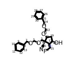 N#C[C@]1(COCOCc2ccccc2)/C(=C\F)[C@H](O)C[C@@H]1OCOCc1ccccc1